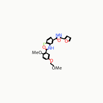 COCCOc1ccc(OC)c(C(=O)Nc2cc(-c3nnc(-c4ccco4)o3)ccc2F)c1